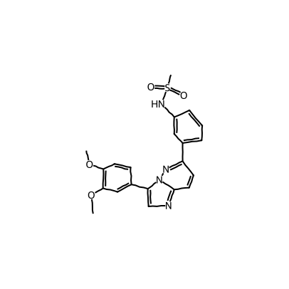 COc1ccc(-c2cnc3ccc(-c4cccc(NS(C)(=O)=O)c4)nn23)cc1OC